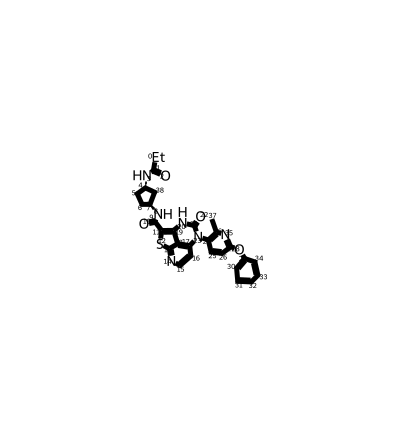 CCC(=O)N[C@H]1CC[C@H](NC(=O)c2sc3nccc4c3c2NC(=O)N4c2ccc(Oc3ccccc3)nc2C)C1